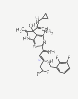 C=C1Nc2nc(C(=N)/C=C(/CC(F)F)NCc3cccc(F)c3F)nc(N)c2C1(C)C(=C)NC1CC1